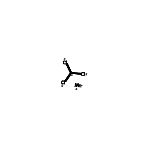 ClC(Cl)Cl.[Mn]